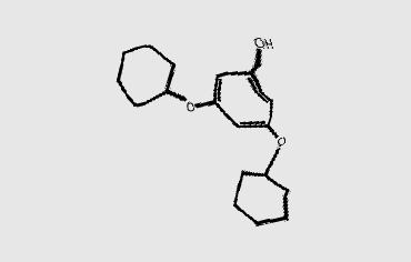 Oc1cc(OC2CCCCC2)cc(OC2CCCCC2)c1